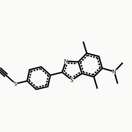 Cc1cc(N(C)C)c(C)c2sc(-c3ccc(SC#N)cc3)nc12